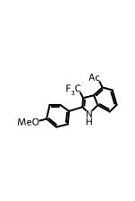 COc1ccc(-c2[nH]c3cccc(C(C)=O)c3c2C(F)(F)F)cc1